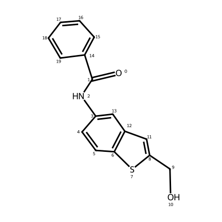 O=C(Nc1ccc2sc(CO)cc2c1)c1ccccc1